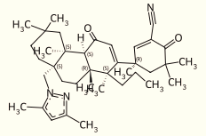 CCC[C@]1(C)C([C@@]2(C)C=C(C#N)C(=O)C(C)(C)C2)=CC(=O)[C@@H]2[C@]3(C)CC(C)(C)CC[C@]3(Cn3nc(C)cc3C)CC[C@]21C